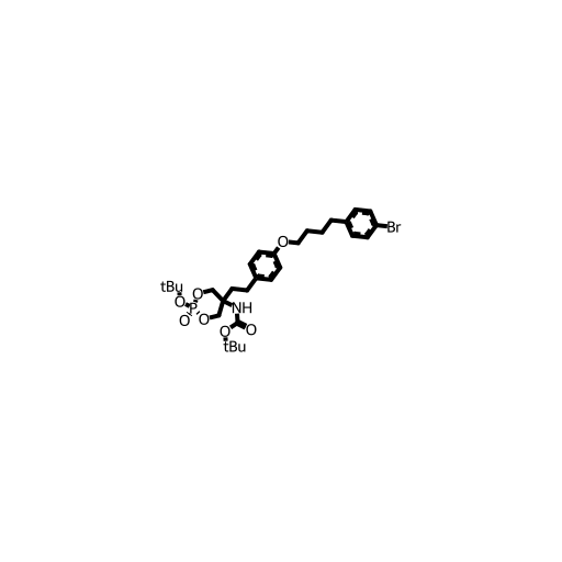 CC(C)(C)OC(=O)NC1(CCc2ccc(OCCCCc3ccc(Br)cc3)cc2)COP(=O)(OC(C)(C)C)OC1